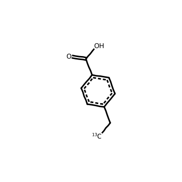 [13CH3]Cc1ccc(C(=O)O)cc1